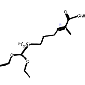 CCOC(OCC)[SiH2]CCC/C=C(\C)C(=O)O